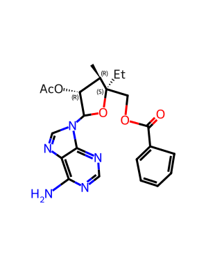 CC[C@]1(COC(=O)c2ccccc2)OC(n2cnc3c(N)ncnc32)[C@H](OC(C)=O)[C@H]1C